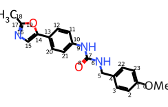 COc1ccc(CNC(=O)Nc2ccc(-c3cnc(C)o3)cc2)cc1